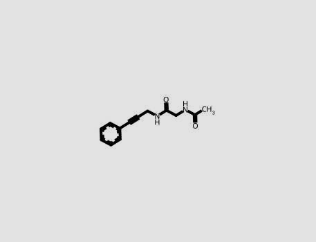 CC(=O)NCC(=O)NCC#Cc1ccccc1